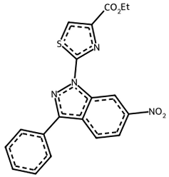 CCOC(=O)c1csc(-n2nc(-c3ccccc3)c3ccc([N+](=O)[O-])cc32)n1